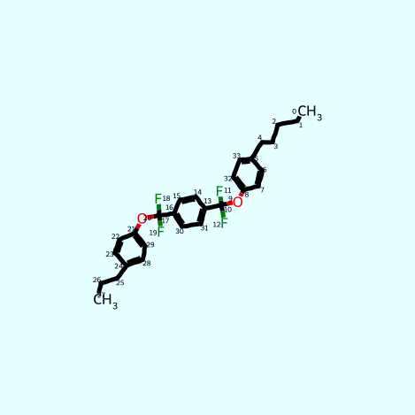 CCCCCc1ccc(OC(F)(F)c2ccc(C(F)(F)Oc3ccc(CCC)cc3)cc2)cc1